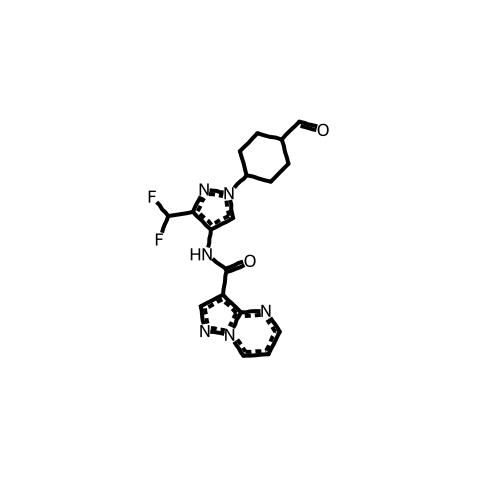 O=CC1CCC(n2cc(NC(=O)c3cnn4cccnc34)c(C(F)F)n2)CC1